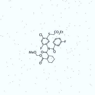 CCOC(=O)CSc1cc(N(C(=O)C2=C(C(=O)OCOC)CCCC2)C(=O)c2cccc(F)c2)c(F)cc1Cl